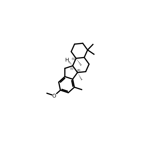 COc1cc(C)c2c(c1)C[C@@H]1[C@@]2(C)CCC2C(C)(C)CCC[C@@]21C